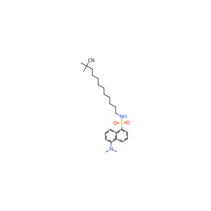 CN(C)c1cccc2c(S(=O)(=O)NCCCCCCCCCCC(C)(C)C#N)cccc12